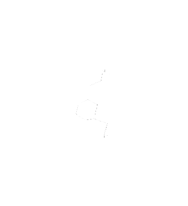 C[C](C)CN1CCO[C@H](CCN)C1